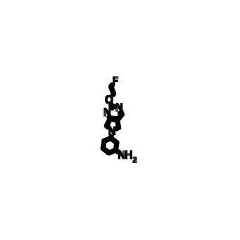 NC1CCCC(N2Cc3cnc(OCCF)nc3C2)C1